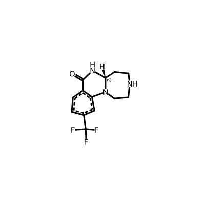 O=C1N[C@@H]2CCNCCN2c2cc(C(F)(F)F)ccc21